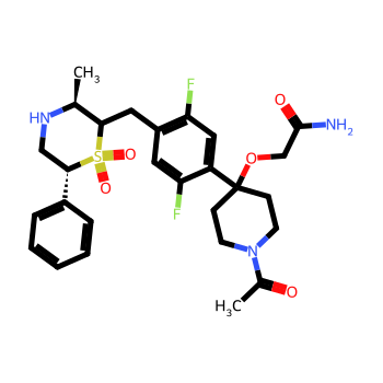 CC(=O)N1CCC(OCC(N)=O)(c2cc(F)c(CC3[C@H](C)NC[C@@H](c4ccccc4)S3(=O)=O)cc2F)CC1